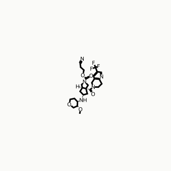 CO[C@@H]1COCC[C@@H]1N[C@@H]1C[C@H]2CN(C(=O)OCCC#N)C[C@@]2(C(=O)N2CCc3ncc(C(F)(F)F)cc3C2)C1